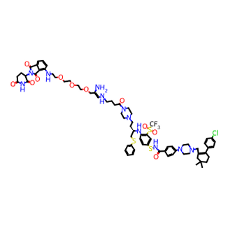 CC1(C)CCC(c2ccc(Cl)cc2)=C(CN2CCN(c3ccc(C(=O)NSc4ccc(N[C@H](CCN5CCN(C(=O)CCCN/C=C(\N)COCCOCCOCCNc6cccc7c6C(=O)N(C6CCC(=O)NC6=O)C7=O)CC5)CSc5ccccc5)c(S(=O)(=O)C(F)(F)F)c4)cc3)CC2)C1